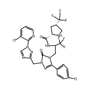 O=C(NC(Cn1c(-c2ccc(Cl)cc2)nn(Cc2ncn(-c3ncccc3Cl)n2)c1=O)C(F)(F)F)[C@@H]1C[C@H](C(F)(F)F)CN1